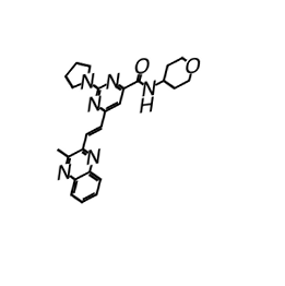 Cc1nc2ccccc2nc1C=Cc1cc(C(=O)NC2CCOCC2)nc(N2CCCC2)n1